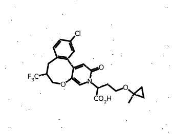 CC1(OCCC(C(=O)O)n2cc3c(cc2=O)-c2cc(Cl)ccc2CC(C(F)(F)F)CO3)CC1